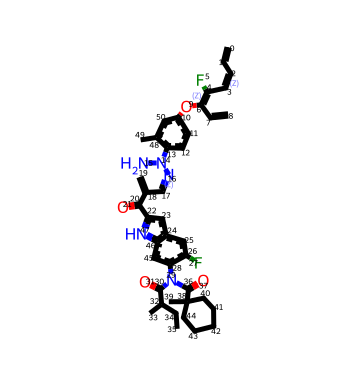 C=C/C=C\C(F)=C(/C=C)Oc1ccc(N(N)/N=C\C(=C)C(=O)c2cc3cc(F)c(N(C(=O)C(C)CC)C(=O)C4(C)CCCCC4)cc3[nH]2)c(C)c1